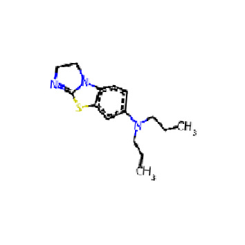 CCCN(CCC)c1ccc2c(c1)SC1=NCCN12